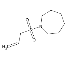 C=CCS(=O)(=O)N1CCCCCC1